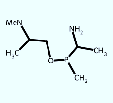 CNC(C)COP(C)C(C)N